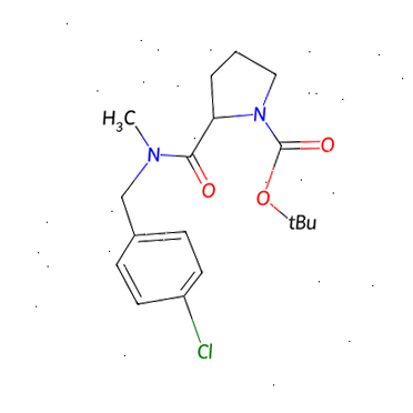 CN(Cc1ccc(Cl)cc1)C(=O)C1CCCN1C(=O)OC(C)(C)C